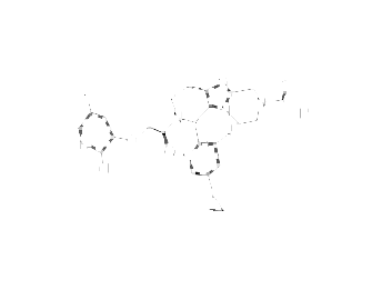 CC(=O)N1CCn2c(nc3c2C(c2ncc(C4CC4)cc2F)N(C(=O)COc2cc(F)cnc2Cl)CC3)C1